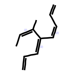 C=C\C=C/C(=C/C=C)C(/C)=C\C